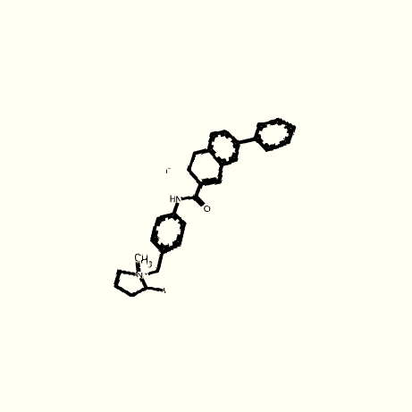 C[N+]1(Cc2ccc(NC(=O)C3=Cc4cc(-c5ccccc5)ccc4CC3)cc2)CCCC1I.[I-]